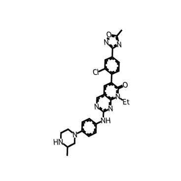 CCn1c(=O)c(-c2ccc(-c3noc(C)n3)cc2Cl)cc2cnc(Nc3ccc(N4CCNC(C)C4)cc3)nc21